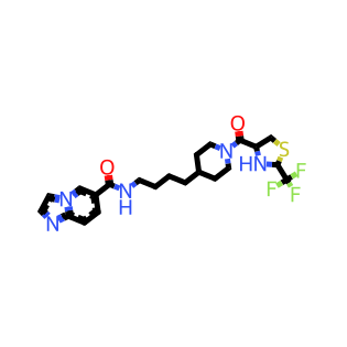 O=C(NCCCCC1CCN(C(=O)C2CSC(C(F)(F)F)N2)CC1)c1ccc2nccn2c1